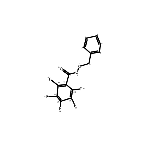 O=C(OOCc1ccccc1)c1c(F)c(F)c(F)c(F)c1F